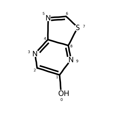 Oc1cnc2ncsc2n1